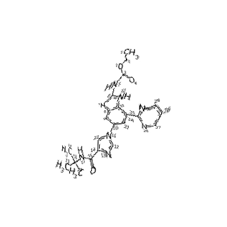 CCOC(=O)Nc1nc2cc(-n3cnc(C(=O)NC(C)(C)C)c3)cc(-c3ncccn3)c2[nH]1